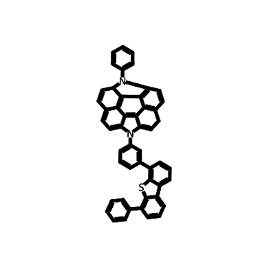 C1=CC2c3c4c(ccc5c4c4c(n(-c6cccc(-c7cccc8c7sc7c(-c9ccccc9)cccc78)c6)c6ccc1c3c46)=CC5)N2c1ccccc1